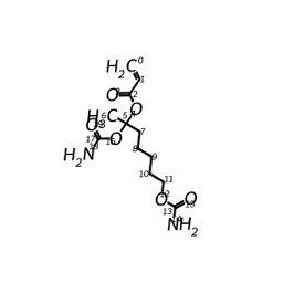 C=CC(=O)OC(C)(CCCCCOC(N)=O)OC(N)=O